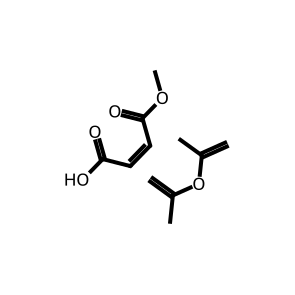 C=C(C)OC(=C)C.COC(=O)/C=C\C(=O)O